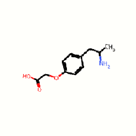 CC(N)Cc1ccc(OCC(=O)O)cc1